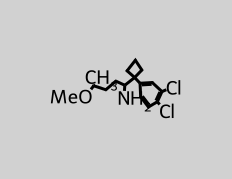 COC(C)CCC(N)C1(c2ccc(Cl)c(Cl)c2)CCC1